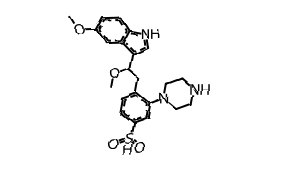 COc1ccc2[nH]cc(C(Cc3ccc([SH](=O)=O)cc3N3CCNCC3)OC)c2c1